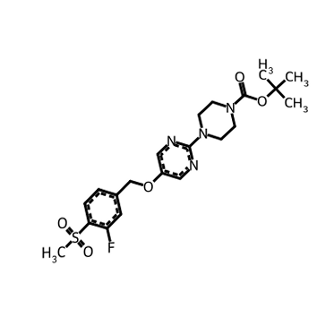 CC(C)(C)OC(=O)N1CCN(c2ncc(OCc3ccc(S(C)(=O)=O)c(F)c3)cn2)CC1